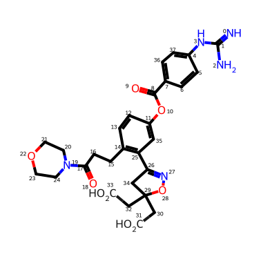 N=C(N)Nc1ccc(C(=O)Oc2ccc(CCC(=O)N3CCOCC3)c(C3=NOC(CC(=O)O)(CC(=O)O)C3)c2)cc1